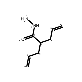 C=CCC(CC=C)C(=O)NN